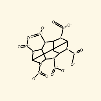 O=[N+]([O-])N1C2CC3N([N+](=O)[O-])C1C1N([N+](=O)[O-])C(C(N3[N+](=O)[O-])N1[N+](=O)[O-])N2[N+](=O)[O-]